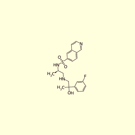 C[C@H](CNCC(C)(O)c1cccc(F)c1)NS(=O)(=O)c1ccc2cnccc2c1